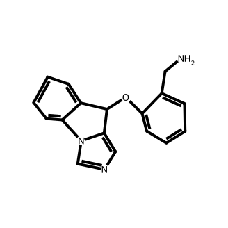 NCc1ccccc1OC1c2ccccc2-n2cncc21